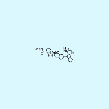 CNC(=O)c1cccc(NC(=O)Cc2ccc(-n3c4c(c5ncnc(N)c53)CCC4)cc2OC)c1